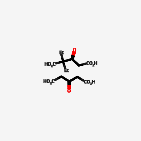 CCC(CC)(C(=O)O)C(=O)CC(=O)O.O=C(O)CC(=O)CC(=O)O